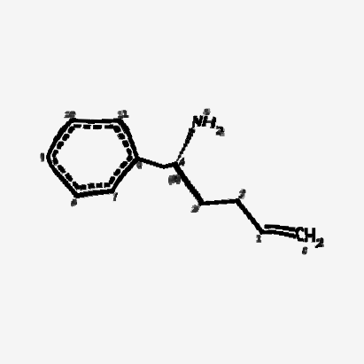 C=CCC[C@@H](N)c1ccccc1